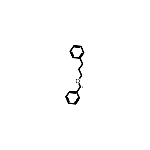 [C](OCCCc1ccccc1)c1ccccc1